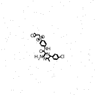 Cc1nc(N)c(C(=O)Nc2ccc(S(=O)(=O)CC3COC3)cc2)nc1-c1ccc(Cl)cc1